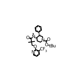 CN(C(=O)C(C)(C)COc1ncccc1C(F)(F)F)[C@H]1CCN(C(=O)OC(C)(C)C)C[C@@H]1c1ccccc1